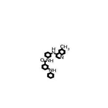 Cc1ccc2nccc(Nc3cccc(NC(=O)c4cccc(Nc5ccccc5)c4)c3)c2c1